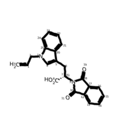 C=CCn1cc(C[C@@H](C(=O)O)N2C(=O)c3ccccc3C2=O)c2ccccc21